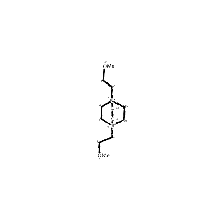 COCC[N+]12CC[N+](CCOC)(CC1)CC2